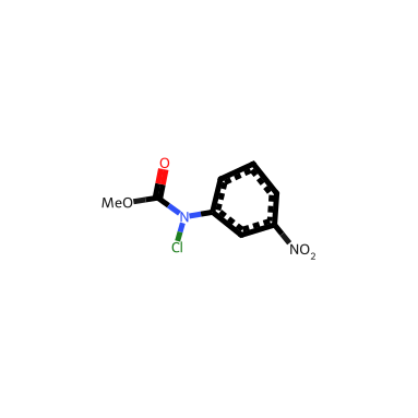 COC(=O)N(Cl)c1cccc([N+](=O)[O-])c1